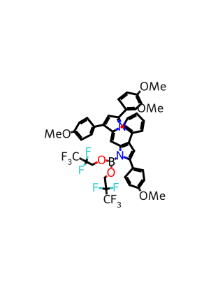 COc1ccc(C2=CC(c3ccc(OC)cc3)=N/C2=C\c2c(-c3ccc(OC)cc3)cc(-c3ccc(OC)cc3)n2B(OCC(F)(F)C(F)(F)F)OCC(F)(F)C(F)(F)F)cc1